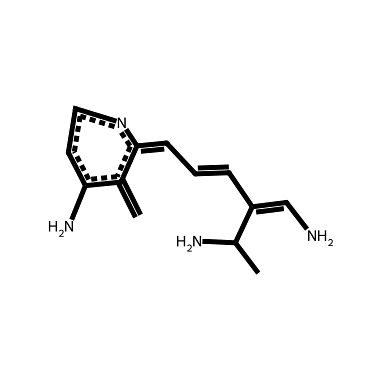 C=c1c(N)ccn/c1=C/C=C/C(=C/N)C(C)N